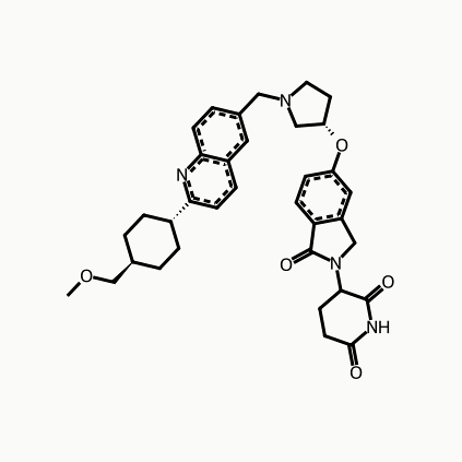 COC[C@H]1CC[C@H](c2ccc3cc(CN4CC[C@H](Oc5ccc6c(c5)CN(C5CCC(=O)NC5=O)C6=O)C4)ccc3n2)CC1